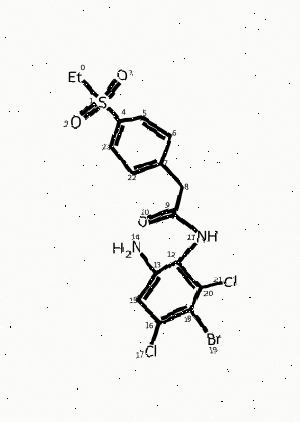 CCS(=O)(=O)c1ccc(CC(=O)Nc2c(N)cc(Cl)c(Br)c2Cl)cc1